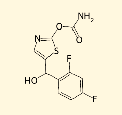 NC(=O)Oc1ncc(C(O)c2ccc(F)cc2F)s1